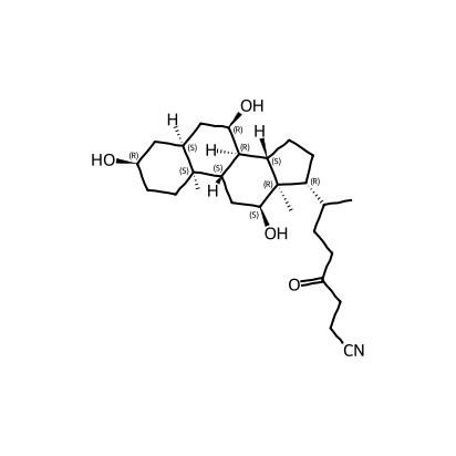 CC(CCC(=O)CCC#N)[C@H]1CC[C@H]2[C@@H]3[C@H](O)C[C@@H]4C[C@H](O)CC[C@]4(C)[C@H]3C[C@H](O)[C@]12C